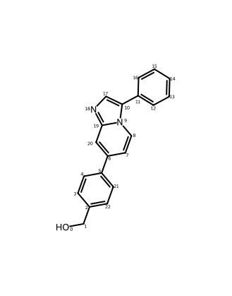 OCc1ccc(-c2ccn3c(-c4ccccc4)cnc3c2)cc1